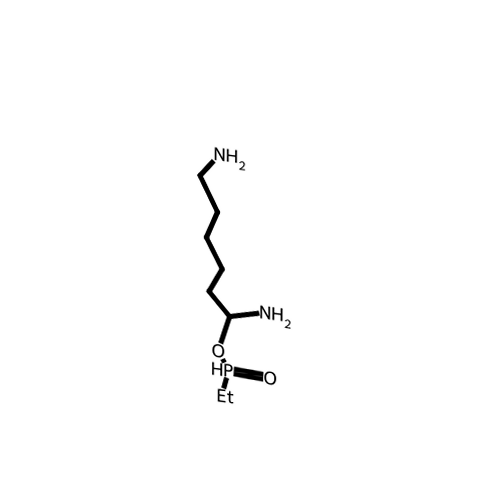 CC[PH](=O)OC(N)CCCCCN